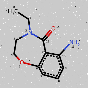 CCN1CCOc2cccc(N)c2C1=O